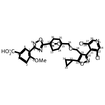 COc1ccc(C(=O)O)cc1-c1noc(C23CCC(COCc4c(-c5c(Cl)cncc5Cl)noc4C4CC4)(CC2)CC3)n1